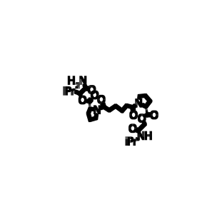 CC(C)NC(=O)COC(=O)[C@H]1CCCN1C(=O)CCCCC(=O)N1CCC[C@@H]1C(=O)OC(C(N)=O)C(C)C